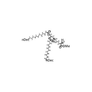 CCCCCCCCCCCCCCCCCCCCCC(=O)OCC(CNCCCCC(N)C(=O)OC)OC(=O)CCCCCCCCCCCCCCCCCCCCC